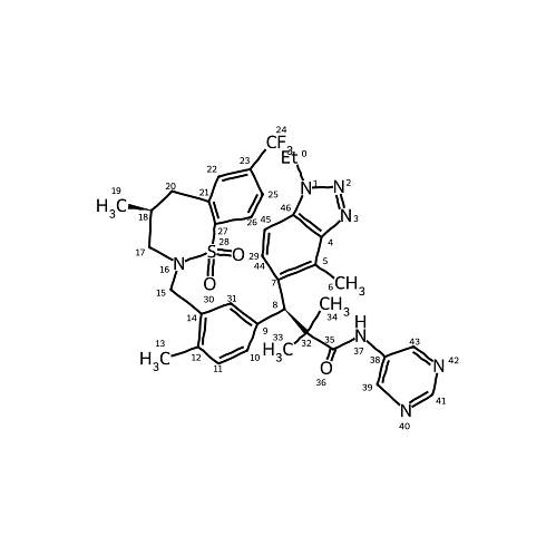 CCn1nnc2c(C)c([C@H](c3ccc(C)c(CN4C[C@@H](C)Cc5cc(C(F)(F)F)ccc5S4(=O)=O)c3)C(C)(C)C(=O)Nc3cncnc3)ccc21